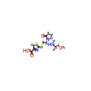 COCC(C)NC[C@H]1CCC(=O)N1CCSc1nc(C(=O)O)cs1